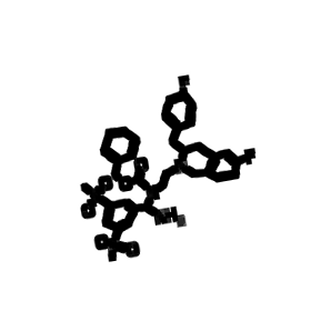 CS(=O)(=O)c1cc(C(N)N(CCN2Cc3ccc(F)cc3CC2Cc2ccc(F)cc2)C(=O)OCc2ccccc2)cc(S(C)(=O)=O)c1